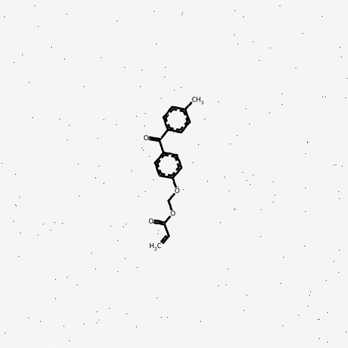 C=CC(=O)OCOc1ccc(C(=O)c2ccc(C)cc2)cc1